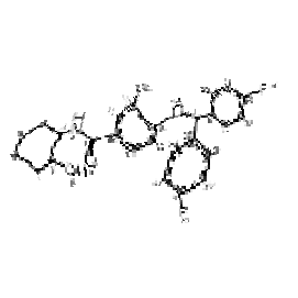 O=C(NC1CCCCC1O)c1ccc(OC(c2ccc(F)cc2)c2ccc(F)cc2)c(F)c1